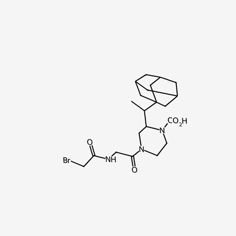 CC(C1CN(C(=O)CNC(=O)CBr)CCN1C(=O)O)C12CC3CC(CC(C3)C1)C2